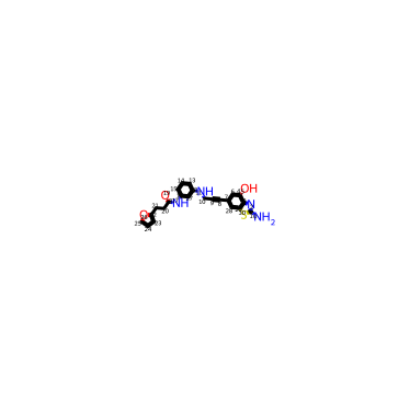 Nc1nc2c(O)cc(C#CCNc3cccc(NC(=O)CCc4ccco4)c3)cc2s1